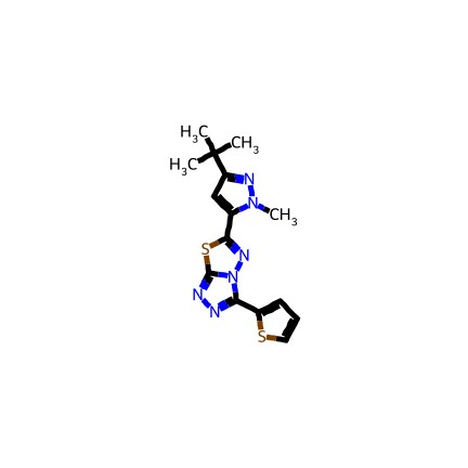 Cn1nc(C(C)(C)C)cc1-c1nn2c(-c3cccs3)nnc2s1